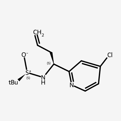 C=CC[C@H](N[S@+]([O-])C(C)(C)C)c1cc(Cl)ccn1